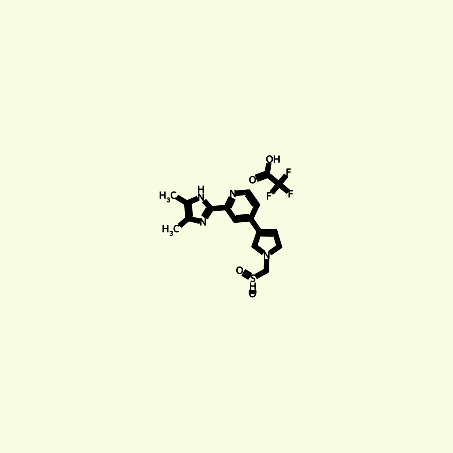 Cc1nc(-c2cc(C3=CCN(C[SH](=O)=O)C3)ccn2)[nH]c1C.O=C(O)C(F)(F)F